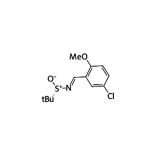 COc1ccc(Cl)cc1C=N[S@@+]([O-])C(C)(C)C